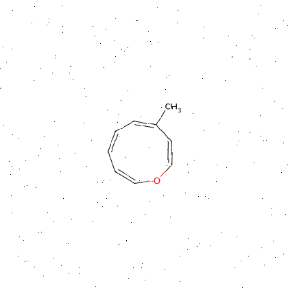 Cc1cccccocc1